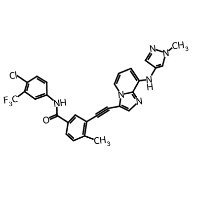 Cc1ccc(C(=O)Nc2ccc(Cl)c(C(F)(F)F)c2)cc1C#Cc1cnc2c(Nc3cnn(C)c3)cccn12